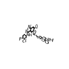 COc1cc2ncnc(Nc3ccc(F)c(Cl)c3)c2cc1OCCCN1CC2(CNC(=O)O2)C1